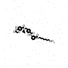 NCCCCCCCNC(=O)c1cccc(NC(=O)c2ccc(CN(C(=O)c3ccc4c(c3)OCC(=O)N4)C3CC3)cc2)c1